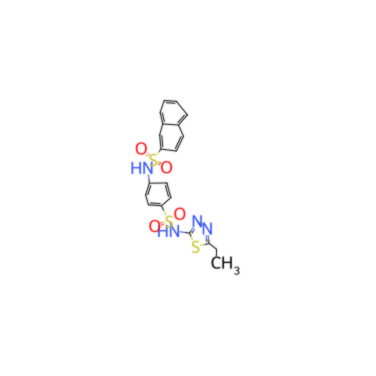 CCc1nnc(NS(=O)(=O)c2ccc(NS(=O)(=O)c3ccc4ccccc4c3)cc2)s1